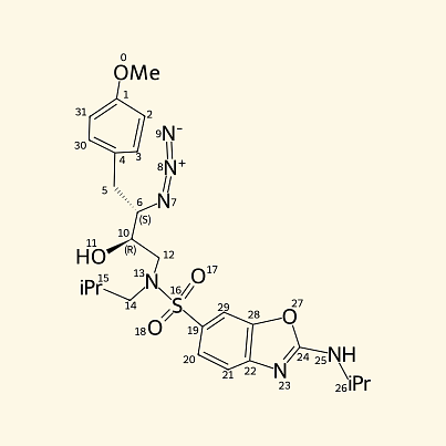 COc1ccc(C[C@H](N=[N+]=[N-])[C@H](O)CN(CC(C)C)S(=O)(=O)c2ccc3nc(NC(C)C)oc3c2)cc1